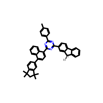 CC[C@@H]1c2ccccc2-c2ccc(-c3nc(-c4ccc(C)cc4)nc(-c4ccc(-c5ccc6c(c5)C(C)(C)CC6(C)C)c5ccccc45)n3)cc21